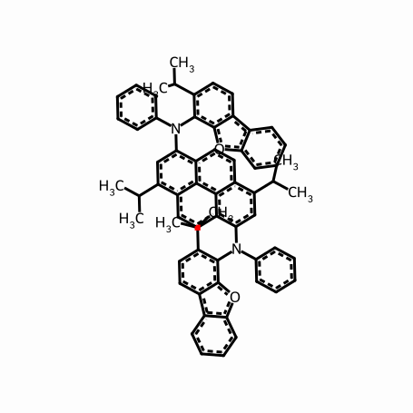 CC(C)c1ccc2c(oc3ccccc32)c1N(c1ccccc1)c1cc(C(C)C)c2ccc3c(N(c4ccccc4)c4c(C(C)C)ccc5c4oc4ccccc45)cc(C(C)C)c4ccc1c2c43